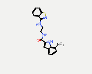 O=C(NCCNc1nsc2ccccc12)c1cc2cccc([N+](=O)[O-])c2[nH]1